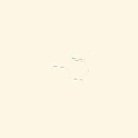 Cc1cc(Cl)cc(C(C)C)c1F